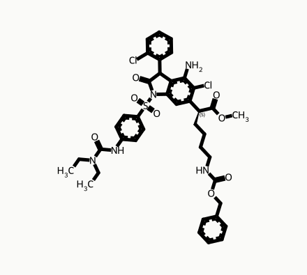 CCN(CC)C(=O)Nc1ccc(S(=O)(=O)N2C(=O)C(c3ccccc3Cl)c3c2cc([C@H](CCCCNC(=O)OCc2ccccc2)C(=O)OC)c(Cl)c3N)cc1